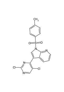 Cc1ccc(S(=O)(=O)n2cc(-c3nc(Cl)ncc3Cl)c3cccnc32)cc1